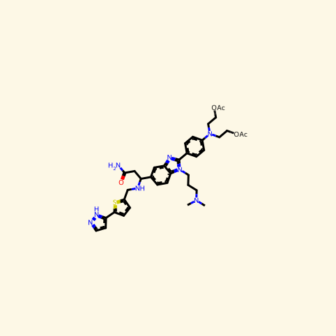 CC(=O)OCCN(CCOC(C)=O)c1ccc(-c2nc3cc(C(CC(N)=O)NCc4ccc(-c5ccn[nH]5)s4)ccc3n2CCCN(C)C)cc1